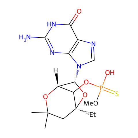 CC[C@]12CC(C)(C)O[C@@H](C1OP(O)(=S)OC)[C@H](n1cnc3c(=O)[nH]c(N)nc31)O2